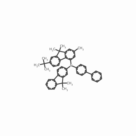 Cc1cc(N(c2ccc(-c3ccccc3)cc2)c2ccc3c(c2)C(C)(C)c2ccccc2-3)c2c(c1)C(C)(C)c1cc(C(C)(C)C)ccc1-2